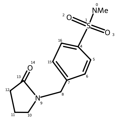 CNS(=O)(=O)c1ccc(CN2CCCC2=O)cc1